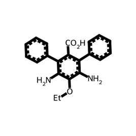 CCOc1c(N)c(-c2ccccc2)c(C(=O)O)c(-c2ccccc2)c1N